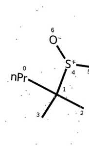 CCCC(C)(C)[S+](C)[O-]